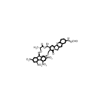 CC[C@H](OC(=O)[C@@H](C)ON=C1c2cc([N+](=O)[O-])cc([N+](=O)[O-])c2-c2c1cc([N+](=O)[O-])cc2[N+](=O)[O-])c1cc2n(c(=O)c1COC=O)Cc1cc3cc(BOC=O)ccc3nc1-2